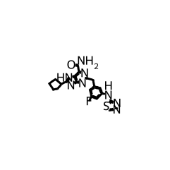 NC(=O)c1nc(Cc2cc(F)cc(Nc3nncs3)c2)nc2nc(C3CCCC3)[nH]c12